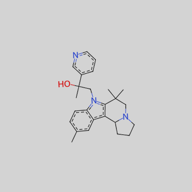 Cc1ccc2c(c1)c1c(n2CC(C)(O)c2cccnc2)C(C)(C)CN2CCCC12